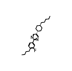 CCCCC[C@H]1CC[C@H](c2cnc(-c3ccc(CCCC)c(F)c3)nc2)CC1